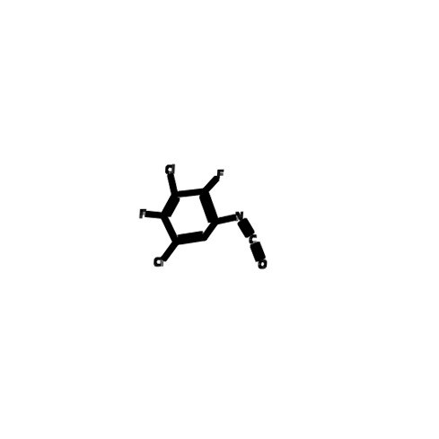 O=C=Nc1cc(Cl)c(F)c(Cl)c1F